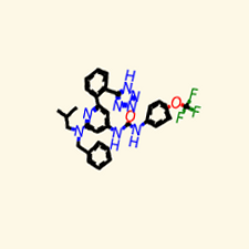 CC(C)CN(Cc1ccccc1)c1cc(NC(=O)Nc2ccc(OC(F)(F)F)cc2)cc(-c2ccccc2-c2nnn[nH]2)n1